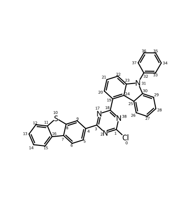 Clc1nc(-c2ccc3c(c2)sc2ccccc23)nc(-c2cccc3c2c2ccccc2n3-c2ccccc2)n1